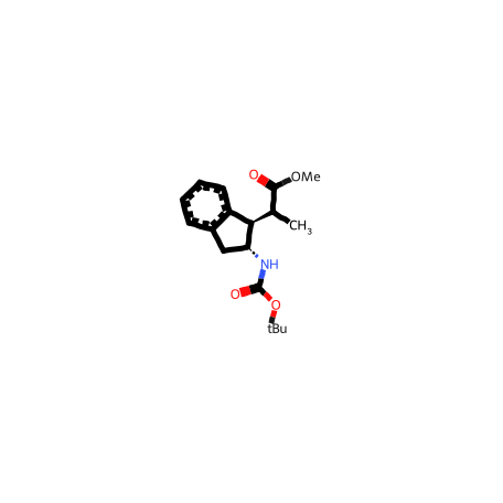 COC(=O)C(C)[C@@H]1c2ccccc2C[C@H]1NC(=O)OC(C)(C)C